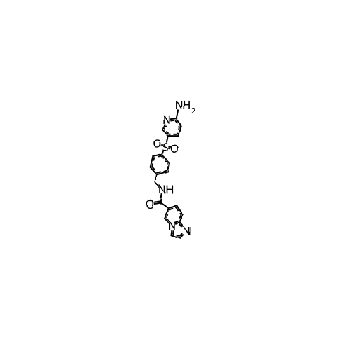 Nc1ccc(S(=O)(=O)c2ccc(CNC(=O)c3ccc4nccn4c3)cc2)cn1